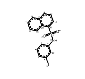 O=S(=O)(Nc1cccc(I)c1)c1cccc2ccccc12